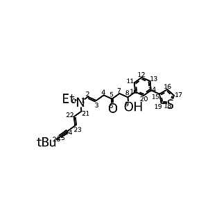 CCN(/C=C/CC(=O)CC(O)c1cccc(-c2ccsc2)c1)C/C=C/C#CC(C)(C)C